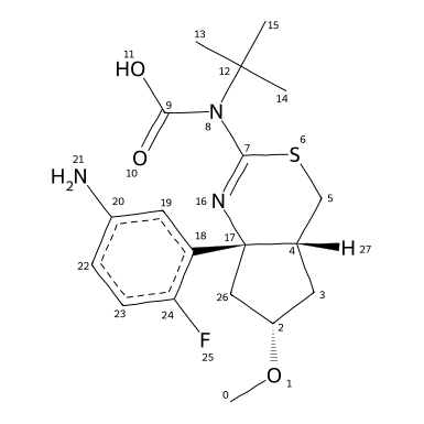 CO[C@H]1C[C@H]2CSC(N(C(=O)O)C(C)(C)C)=N[C@@]2(c2cc(N)ccc2F)C1